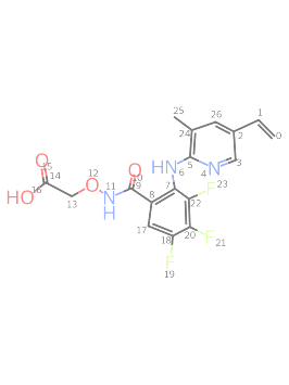 C=Cc1cnc(Nc2c(C(=O)NOCC(=O)O)cc(F)c(F)c2F)c(C)c1